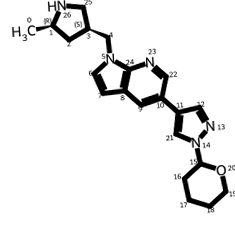 C[C@@H]1C[C@H](Cn2ccc3cc(-c4cnn(C5CCCCO5)c4)cnc32)CN1